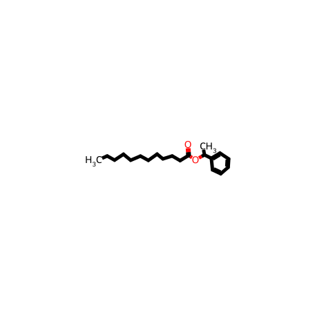 CCCCCCCCCCCC(=O)OC(C)c1ccccc1